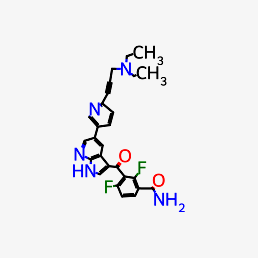 CCN(CC)CC#Cc1ccc(-c2cnc3[nH]cc(C(=O)c4c(F)ccc(C(N)=O)c4F)c3c2)cn1